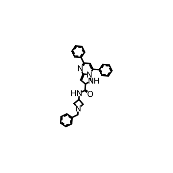 O=C(NC1CN(Cc2ccccc2)C1)C1C=C2N=C(c3ccccc3)C=C(c3ccccc3)N2N1